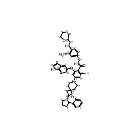 CC(C)c1ccccc1C1CCCN1C1CC2(CCN(c3cc(F)c(C(=O)NSc4ccc(NCC5COCCO5)c(N)c4)c(Oc4cnc5[nH]ccc5c4)c3)CC2)C1